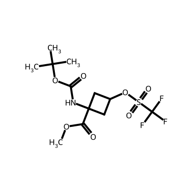 COC(=O)C1(NC(=O)OC(C)(C)C)CC(OS(=O)(=O)C(F)(F)F)C1